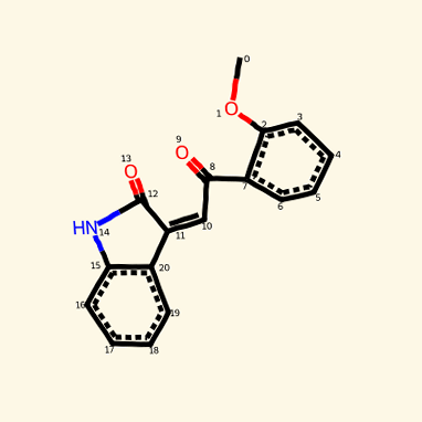 COc1ccccc1C(=O)C=C1C(=O)Nc2ccccc21